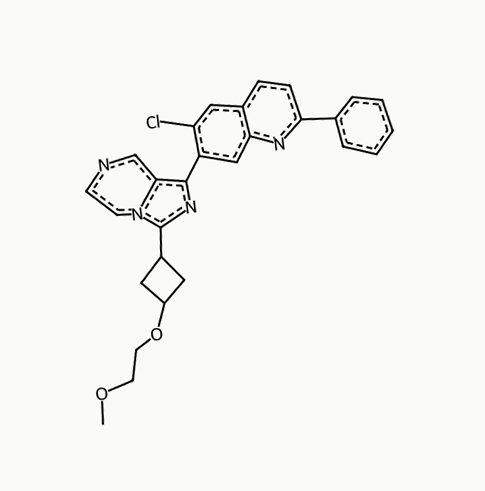 COCCOC1CC(c2nc(-c3cc4nc(-c5ccccc5)ccc4cc3Cl)c3cnccn23)C1